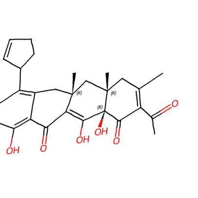 CC(=O)C1=C(C)C[C@@]2(C)C[C@@]3(C)Cc4c(C5C=CCC5)ccc(O)c4C(=O)C3=C(O)[C@@]2(O)C1=O